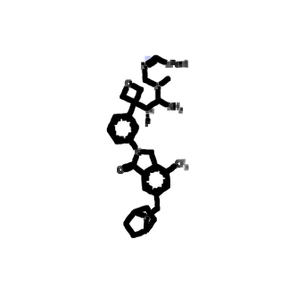 CCCCC/C=N\CN(C)C(N)[C@H](F)C1(c2cccc(N3Cc4c(cc(CN5C6CCC5CC6)cc4C(F)(F)F)C3=O)c2)COC1